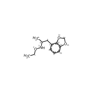 CCONC(C)Cc1cccc2c1OCO2